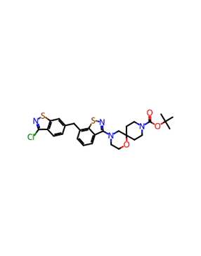 CC(C)(C)OC(=O)N1CCC2(CC1)CN(c1nsc3c(Cc4ccc5c(Cl)nsc5c4)cccc13)CCO2